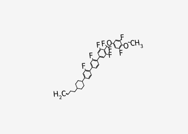 C=CCCC1CCC(c2ccc(-c3ccc(-c4cc(F)c(C(F)(F)Oc5cc(F)c(OCC)c(F)c5)c(F)c4)c(F)c3)c(F)c2)CC1